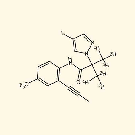 [2H]C([2H])([2H])C(C(=O)Nc1ccc(C(F)(F)F)cc1C#CC)(n1cc(I)cn1)C([2H])([2H])[2H]